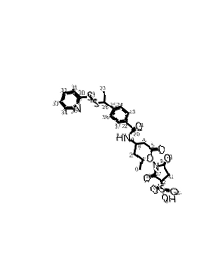 CCCC(CC(=O)ON1C(=O)CC(S(=O)(=O)O)C1=O)NC(=O)c1ccc(C(C)SSc2ccccn2)cc1